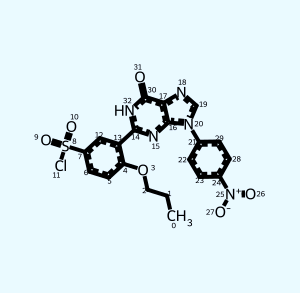 CCCOc1ccc(S(=O)(=O)Cl)cc1-c1nc2c(ncn2-c2ccc([N+](=O)[O-])cc2)c(=O)[nH]1